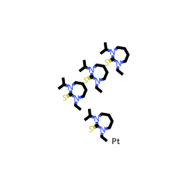 CCN1CCCCN(C(C)C)C1=S.CCN1CCCCN(C(C)C)C1=S.CCN1CCCCN(C(C)C)C1=S.CCN1CCCCN(C(C)C)C1=S.[Pt]